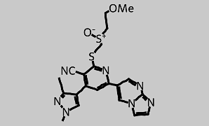 COCC[S+]([O-])CSc1nc(-c2cnc3nccn3c2)cc(-c2cn(C)nc2C)c1C#N